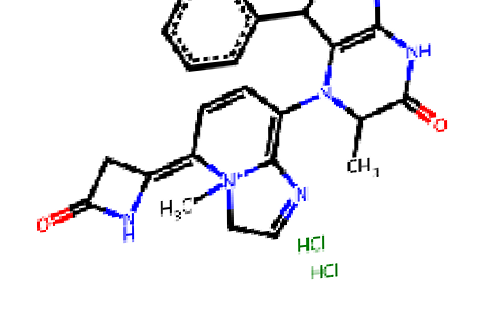 CC1C(=O)NC2=C(C(c3ccccc3)CN2)N1C1=C2N=CC[N+]2(C)C(=C2CC(=O)N2)C=C1.Cl.Cl